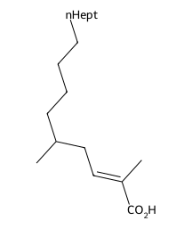 CCCCCCCCCCCC(C)CC=C(C)C(=O)O